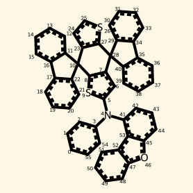 c1ccc(N(c2cc3c(s2)C2(c4ccccc4-c4ccccc42)c2ccsc2C32c3ccccc3-c3ccccc32)c2cccc3oc4ccccc4c23)cc1